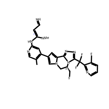 CN/C(=C\C=N)Nc1cc(-c2cc3n(c2)C[C@H](CF)n2c-3nnc2C(F)(F)c2ncccc2F)c(C)cn1